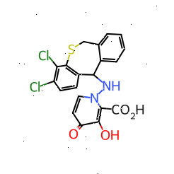 O=C(O)c1c(O)c(=O)ccn1NC1c2ccccc2CSc2c1ccc(Cl)c2Cl